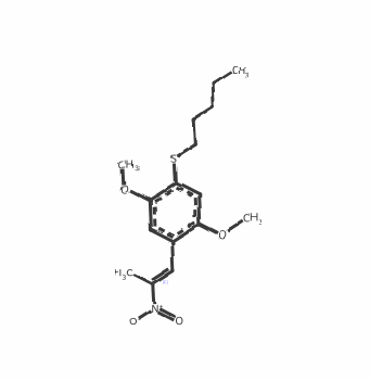 CCCCCSc1cc(OC)c(/C=C(\C)[N+](=O)[O-])cc1OC